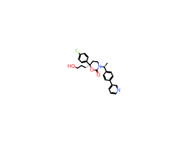 C[C@@H](c1ccc(-c2cccnc2)cc1)N1CC[C@](CCCO)(c2ccc(F)cc2)OC1=O